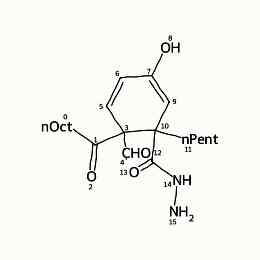 CCCCCCCCC(=O)C1([C]=O)C=CC(O)=CC1(CCCCC)C(=O)NN